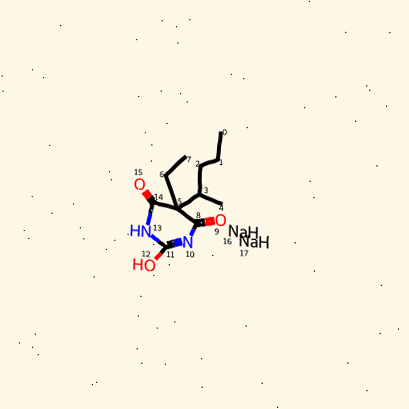 CCCC(C)C1(CC)C(=O)N=C(O)NC1=O.[NaH].[NaH]